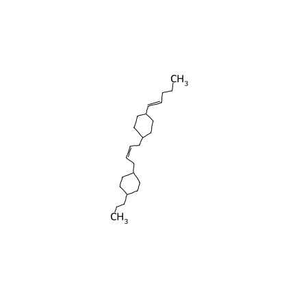 CCCC=CC1CCC(C/C=C\CC2CCC(CCC)CC2)CC1